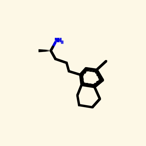 Cc1cc2c(c(CCC[C@H](C)N)c1)CCCC2